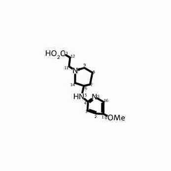 COc1ccc(NC2CCCN(CCC(=O)O)C2)nc1